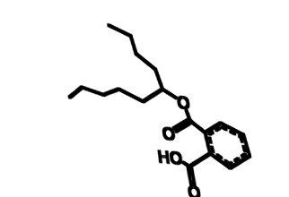 CCCCCC(CCCC)OC(=O)c1ccccc1C(=O)O